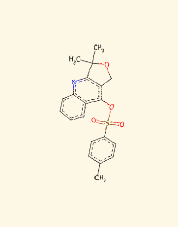 Cc1ccc(S(=O)(=O)Oc2c3c(nc4ccccc24)C(C)(C)OC3)cc1